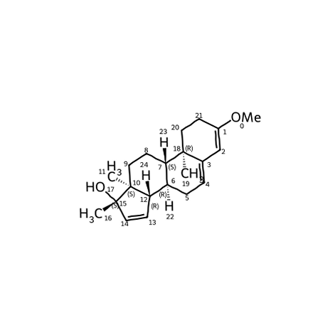 COC1=CC2=CC[C@@H]3[C@H](CC[C@@]4(C)[C@H]3C=C[C@]4(C)O)[C@@]2(C)CC1